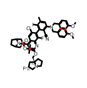 COc1ccc(CN(Cc2ccc(OC)cc2)c2cc(C)c(I)c(-c3c(Cl)cc4c(N5CC6CCC(C5)N6C(=O)OC(C)(C)C)nc(OC[C@@]56CCCN5C[C@H](F)C6)nc4c3F)c2C#N)cc1